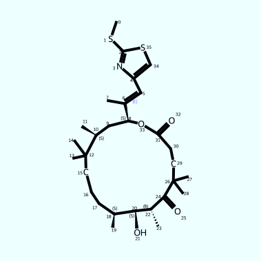 CSc1nc(/C=C(\C)[C@@H]2C[C@H](C)C(C)(C)CCC[C@H](C)[C@H](O)[C@@H](C)C(=O)C(C)(C)CCC(=O)O2)cs1